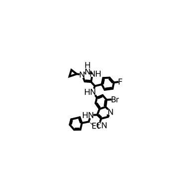 CC[C@@H](Nc1c(C#N)cnc2c(Br)cc(NC(C3=CN(C4CC4)NN3)c3ccc(F)cc3)cc12)c1ccccc1